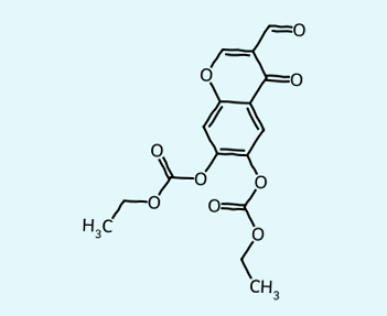 CCOC(=O)Oc1cc2occ(C=O)c(=O)c2cc1OC(=O)OCC